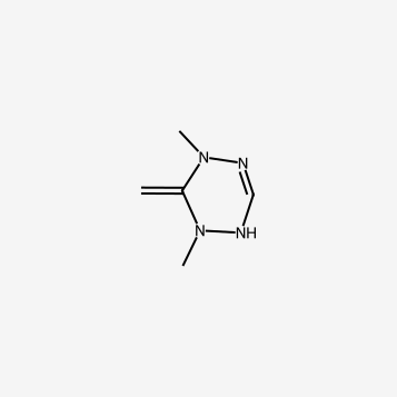 C=C1N(C)N=CNN1C